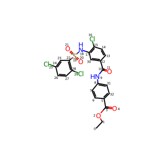 CCOC(=O)c1ccc(NC(=O)c2ccc(Cl)c(NS(=O)(=O)c3cc(Cl)ccc3Cl)c2)cc1